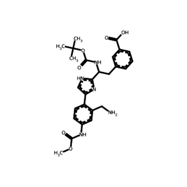 COC(=O)Nc1ccc(-c2c[nH]c(C(Cc3cccc(C(=O)O)c3)NC(=O)OC(C)(C)C)n2)c(CN)c1